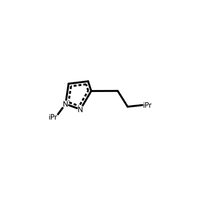 CC(C)CCc1ccn(C(C)C)n1